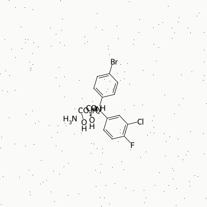 Fc1ccc(Nc2ccc(Br)cc2)cc1Cl.N.O=C(O)O.O=C(O)O